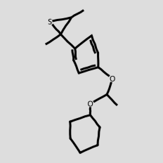 CC(Oc1ccc(C2(C)SC2C)cc1)OC1CCCCC1